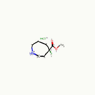 COC(=O)[C@@]1(F)CCCNCC1.Cl